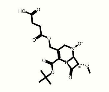 CO[C@@H]1C(=O)N2C(C(=O)OC(C)(C)C)=C(COC(=O)CCC(=O)O)C[S+]([O-])C12